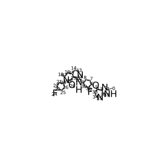 Cc1nc2c(Oc3ccc(Nc4nccc5cc(C)n(-c6ccc(F)cc6)c(=O)c45)cc3F)ccnc2[nH]1